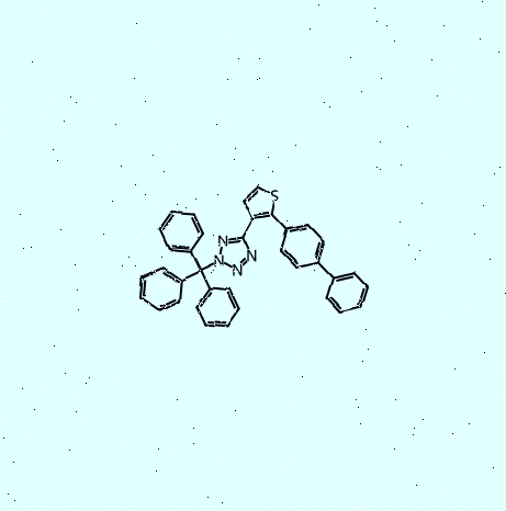 c1ccc(-c2ccc(-c3sccc3-c3nnn(C(c4ccccc4)(c4ccccc4)c4ccccc4)n3)cc2)cc1